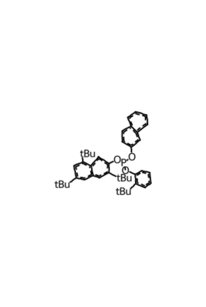 CC(C)(C)c1cc(C(C)(C)C)c2cc(OP(Oc3ccc4ccccc4c3)Oc3ccccc3C(C)(C)C)c(C(C)(C)C)cc2c1